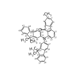 Cc1ccc2c(c1)C(=O)c1c-2cccc1N(c1ccc2c(c1)C(C)(C)c1ccccc1-2)c1ccc2c(c1)C(C)(C)c1ccccc1-2